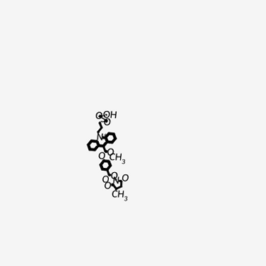 Cc1cc(C(=O)ON2C(=O)CC(C)C2=O)ccc1OC(=O)c1c2ccccc2[n+](CCCS(=O)(=O)O)c2ccccc12